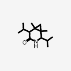 CC(C)C1NC(=O)C(C(C)C)C2(C)CC12C